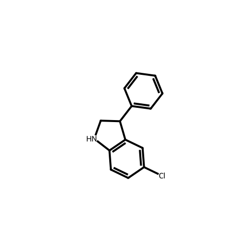 Clc1ccc2c(c1)C(c1ccccc1)CN2